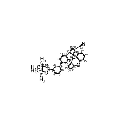 CC1(C)OB(c2cccc(-c3ccc4c(c3)C3(c5ccccc5Oc5ccccc53)c3cc(C#N)ccc3-4)c2)OC1(C)C